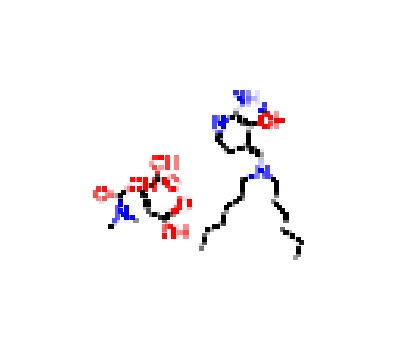 CCCCCCN(C=C1CC=NC(N)=C1O)CCCCCC.CN(C)C(=O)O.O=C(O)/C=C\C(=O)O